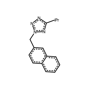 CC(C)c1nnn(Cc2ccc3ccccc3c2)n1